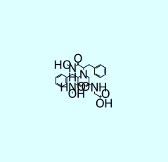 O=C(O)CNC(=O)CN(C(Cc1ccccc1)C(=O)NO)C(Cc1ccccc1)C(=O)NO